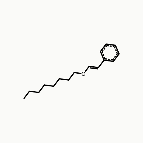 CCCCCCCCO/C=C/c1ccccc1